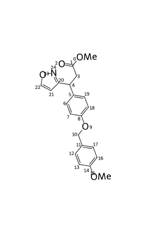 COC(=O)CC(c1ccc(OCc2ccc(OC)cc2)cc1)c1ccon1